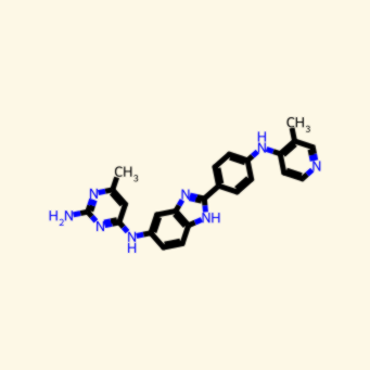 Cc1cc(Nc2ccc3[nH]c(-c4ccc(Nc5ccncc5C)cc4)nc3c2)nc(N)n1